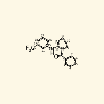 O=C(c1ccccc1)c1cccnc1Nc1cccc(C(F)(F)F)c1